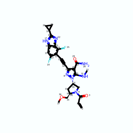 C=CC(=O)N1C[C@@H](n2nc(C#Cc3c(F)cc4[nH]c(C5CC5)nc4c3F)c(C(N)=O)c2NC)C[C@@H]1COC